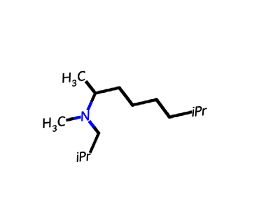 CC(C)CCCCC(C)N(C)CC(C)C